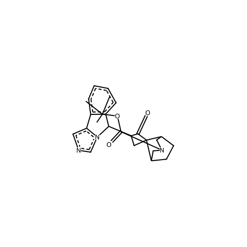 CC(C)(C)OC(=O)N1CC2CCC(C1)C21CC(C2c3ccccc3-c3cncn32)C1=O